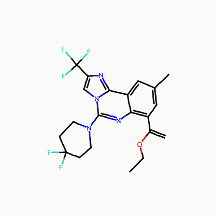 C=C(OCC)c1cc(C)cc2c1nc(N1CCC(F)(F)CC1)n1cc(C(F)(F)F)nc21